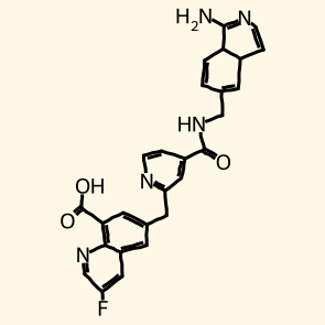 NC1=NC=CC2C=C(CNC(=O)c3ccnc(Cc4cc(C(=O)O)c5ncc(F)cc5c4)c3)C=CC12